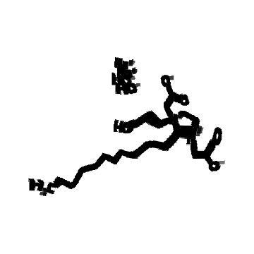 CCCCCCCCCCCC1=[N+](CC(=O)[O-])CC[N+]1(CCO)CC(=O)[O-].[Na+].[Na+].[OH-].[OH-]